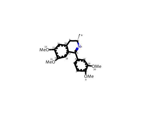 COc1ccc(C2=N[C@@H](C)Cc3cc(OC)c(OC)cc32)cc1OC